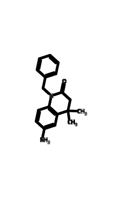 CC1(C)CC(=O)N(Cc2ccccc2)c2ccc(N)cc21